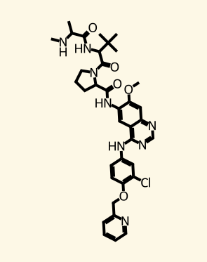 CNC(C)C(=O)NC(C(=O)N1CCCC1C(=O)Nc1cc2c(Nc3ccc(OCc4ccccn4)c(Cl)c3)ncnc2cc1OC)C(C)(C)C